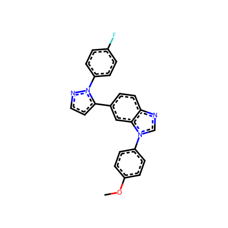 COc1ccc(-n2cnc3ccc(-c4ccnn4-c4ccc(F)cc4)cc32)cc1